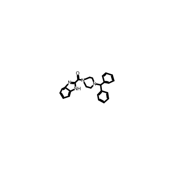 O=C(c1nc2ccccc2[nH]1)N1CCN(C(c2ccccc2)c2ccccc2)CC1